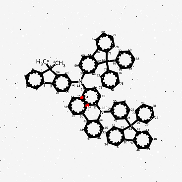 CC1(C)c2ccccc2-c2ccc(N(c3ccc(N(c4cccc(C5(c6ccccc6)c6ccccc6-c6ccccc65)c4)c4ccccc4-c4ccccc4)cc3)c3ccc4c(c3)C(c3ccccc3)(c3ccccc3)c3ccccc3-4)cc21